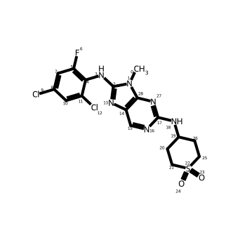 Cn1c(Nc2c(F)cc(Cl)cc2Cl)nc2cnc(NC3CCS(=O)(=O)CC3)nc21